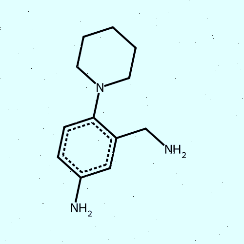 NCc1cc(N)ccc1N1CCCCC1